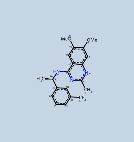 COc1cc2nc(C)nc(N[C@H](C)c3cccc(C(F)(F)F)c3)c2cc1OC